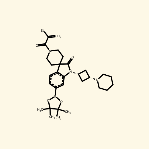 C=C(CC)C(=O)N1CCC2(CC1)C(=O)N([C@H]1C[C@@H](N3CCCCC3)C1)c1cc(B3OC(C)(C)C(C)(C)O3)ccc12